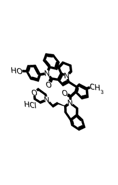 Cc1ccc(C(=O)N2Cc3ccccc3C[C@H]2CCN2CCOCC2)c(-c2cc(C(=O)N(c3ccccc3)c3ccc(O)cc3)c3n2CCCC3)c1.Cl